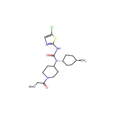 COCC(=O)N1CCC(N(C(=O)Nc2ncc(Cl)s2)[C@H]2CC[C@H](C)CC2)CC1